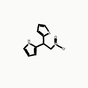 O=[N+]([O-])CC(c1ccc[nH]1)c1cccs1